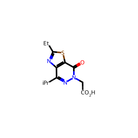 CCc1nc2c(C(C)C)nn(CC(=O)O)c(=O)c2s1